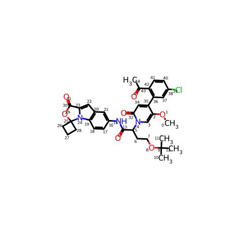 COc1cn(C(CCOC(C)(C)C)C(=O)Nc2ccc3c(c2)cc2n3C3(CCC3)OC2=O)c(=O)cc1-c1cc(Cl)ccc1C(C)=O